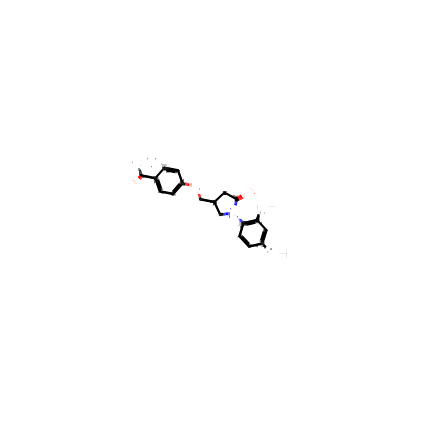 COC(=O)c1ccc(OCC2CC(=O)N(c3ccc(C)cc3C)C2)cc1